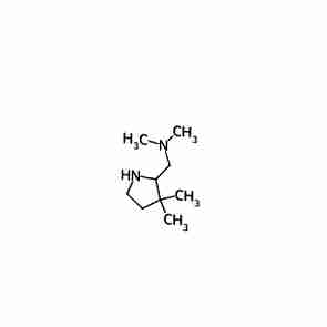 CN(C)CC1NCCC1(C)C